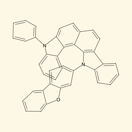 c1ccc(-n2c3ccccc3c3c4c(ccc5c6ccccc6n(-c6ccc7c(c6)oc6ccccc67)c54)ccc32)cc1